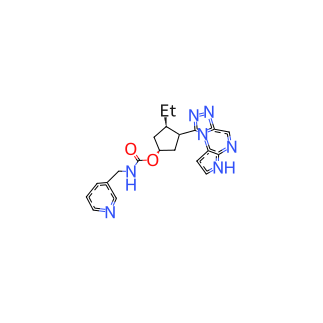 CC[C@@H]1C[C@H](OC(=O)NCc2cccnc2)CC1c1nnc2cnc3[nH]ccc3n12